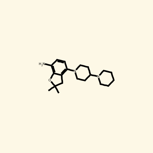 CC1(C)Cc2c(N3CCC(N4CCCCC4)CC3)ccc(N)c2O1